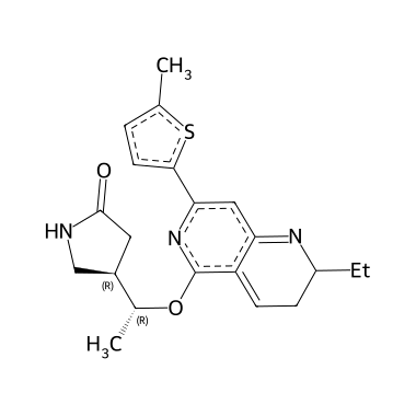 CCC1CC=c2c(O[C@H](C)[C@H]3CNC(=O)C3)nc(-c3ccc(C)s3)cc2=N1